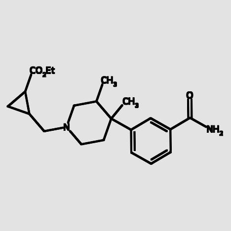 CCOC(=O)C1CC1CN1CCC(C)(c2cccc(C(N)=O)c2)C(C)C1